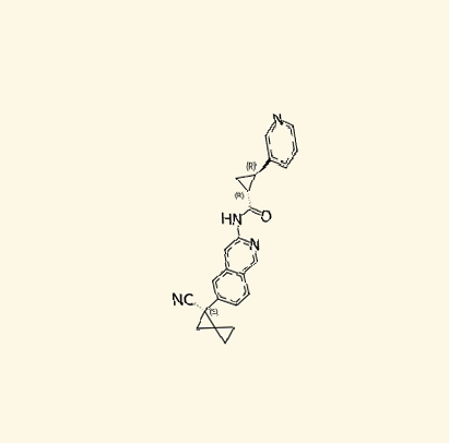 N#C[C@@]1(c2ccc3cnc(NC(=O)[C@@H]4C[C@H]4c4cccnc4)cc3c2)CC12CC2